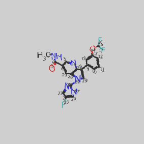 CNC(=O)c1cnc2c(-c3cccc(OC(F)F)c3)cn(-c3ncc(F)cn3)c2c1